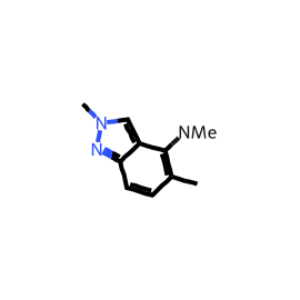 CNc1c(C)ccc2nn(C)cc12